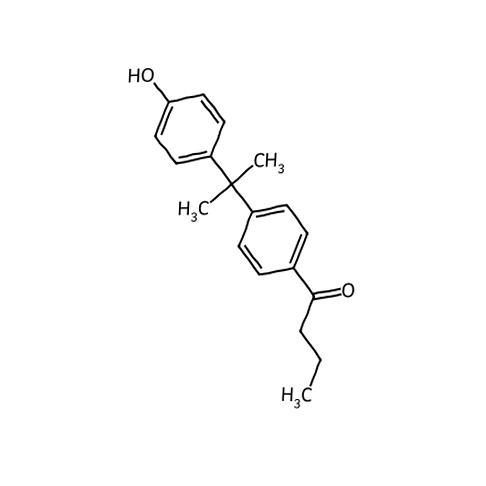 CCCC(=O)c1ccc(C(C)(C)c2ccc(O)cc2)cc1